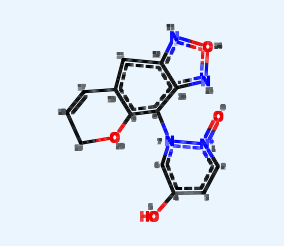 O=[n+]1ccc(O)cn1-c1c2c(cc3nonc13)C=CCO2